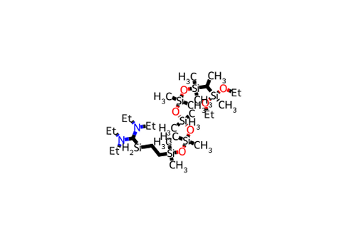 CCO[Si](C)(OCC)C(C)[Si](C)(C)O[Si](C)(C)O[Si](C)(C)O[Si](C)(C)O[Si](C)(C)CC[SiH2]C(N(CC)CC)N(CC)CC